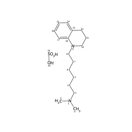 CN(C)CCCCCCN1CCCc2ccccc21.O=S(=O)(O)O